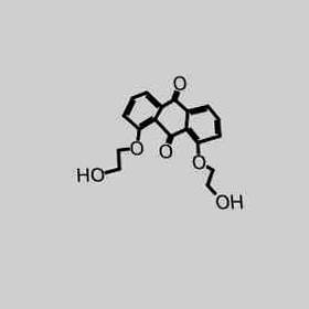 O=C1c2cccc(OCCO)c2C(=O)c2c(OCCO)cccc21